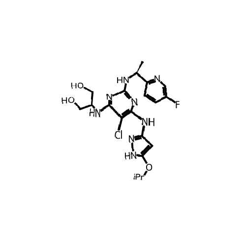 CC(C)Oc1cc(Nc2nc(N[C@@H](C)c3ccc(F)cn3)nc(NC(CO)CO)c2Cl)n[nH]1